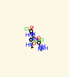 COc1cc2nc([C@@H](CNC(=O)c3c(Cl)cc(N/C=N\C(C)=N)cc3Cl)c3cccc(C(=O)NC4CC4)c3)[nH]c2cc1Cl